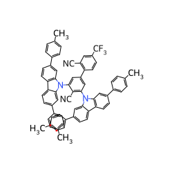 Cc1ccc(-c2ccc3c4ccc(-c5ccc(C)cc5)cc4n(-c4cc(-c5ccc(C(F)(F)F)cc5C#N)cc(-n5c6cc(-c7ccc(C)cc7)ccc6c6ccc(-c7ccc(C)cc7)cc65)c4C#N)c3c2)cc1